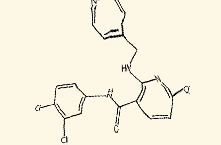 O=C(Nc1ccc(Cl)c(Cl)c1)c1ccc(Cl)nc1NCc1ccncc1